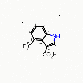 O=C(O)c1c[nH]c2cccc(C(F)(F)F)c12